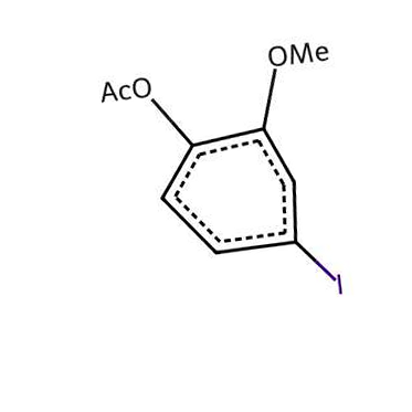 COc1cc(I)ccc1OC(C)=O